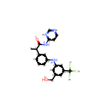 CC(C(=O)Nc1ccncn1)c1cccc(Nc2cc(CO)cc(C(F)(F)F)c2)c1